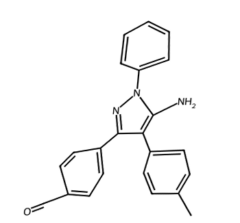 Cc1ccc(-c2c(-c3ccc(C=O)cc3)nn(-c3ccccc3)c2N)cc1